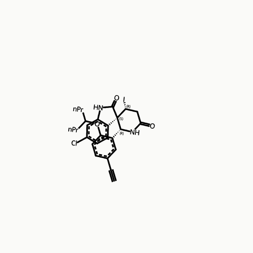 C#Cc1ccc(OC(CCC)CCC)c([C@H]2NC(=O)C[C@@H](I)[C@]23C(=O)Nc2cc(Cl)ccc23)c1